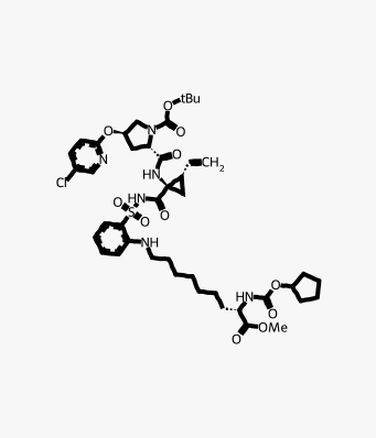 C=C[C@@H]1C[C@]1(NC(=O)[C@@H]1C[C@@H](Oc2ccc(Cl)cn2)CN1C(=O)OC(C)(C)C)C(=O)NS(=O)(=O)c1ccccc1NCCCCCCC[C@H](NC(=O)OC1CCCC1)C(=O)OC